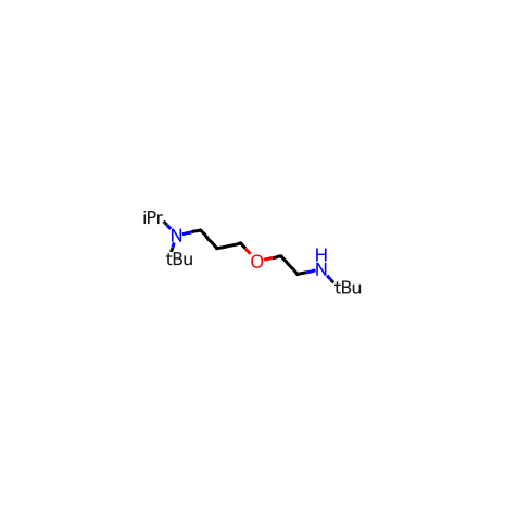 CC(C)N(CCCOCCNC(C)(C)C)C(C)(C)C